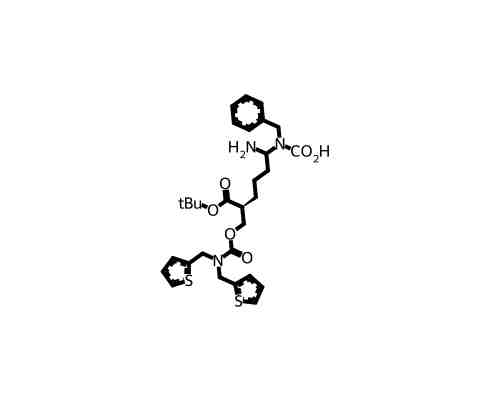 CC(C)(C)OC(=O)[C@@H](CCCC(N)N(Cc1ccccc1)C(=O)O)COC(=O)N(Cc1cccs1)Cc1cccs1